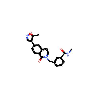 CNC(=O)c1cccc(Cn2ccc3cc(-c4cnoc4C)ccc3c2=O)c1